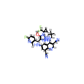 COC1=C([C@@H](Nc2cc(C#N)c3ncc(C#N)c(NCC(C)(C)C)c3c2)c2ccc(F)nc2C)NNN1C1(C(F)F)CC1